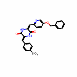 O=c1[nH]c(=Cc2ccc(OCc3ccccc3)cn2)c(=O)[nH]c1=Cc1ccc([N+](=O)[O-])cc1